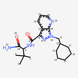 CC(C)(C)C(NC(=O)c1nn(CC2CCCCC2)c2ncccc12)C(N)=O